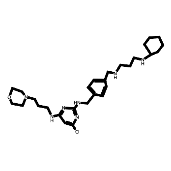 Clc1cc(NCCCN2CCOCC2)nc(NCc2ccc(CNCCCNC3CCCCC3)cc2)n1